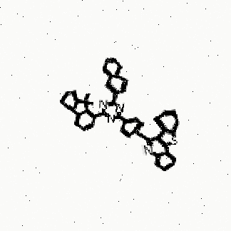 CC1(C)c2ccccc2-c2cccc(-c3nc(-c4ccc(-c5nc6ccccc6c6sc7ccccc7c56)cc4)nc(-c4ccc5ccccc5c4)n3)c21